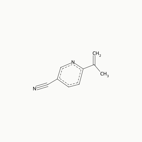 C=C(C)c1ccc(C#N)cn1